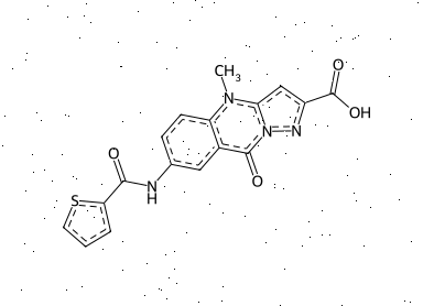 Cn1c2ccc(NC(=O)c3cccs3)cc2c(=O)n2nc(C(=O)O)cc12